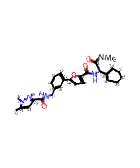 CNC(=O)[C@@H](NC(=O)c1ccc(-c2cccc(CNC(=O)c3cc(C)n(C)n3)c2)o1)C1CCCCC1